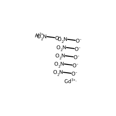 O=[N+]([O-])[O-].O=[N+]([O-])[O-].O=[N+]([O-])[O-].O=[N+]([O-])[O-].O=[N+]([O-])[O-].O=[N+]([O-])[O-].[Al+3].[Gd+3]